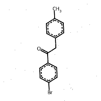 Cc1ccc(CC(=O)c2ccc(Br)cc2)cc1